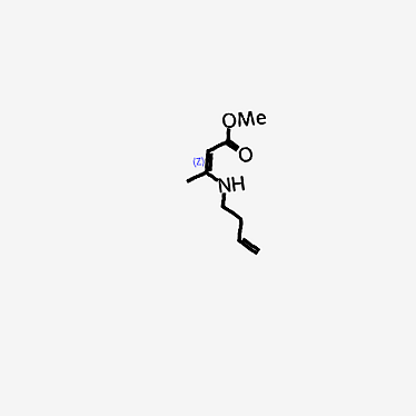 C=CCCN/C(C)=C\C(=O)OC